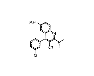 COc1ccc2nc(N(C)C)c(C#N)c(-c3cccc(Cl)c3)c2c1